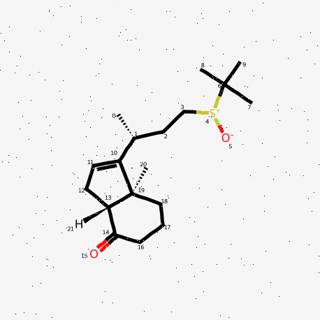 C[C@H](CC[S+]([O-])C(C)(C)C)C1=CC[C@H]2C(=O)CCC[C@]12C